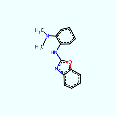 CN(C)c1ccccc1Nc1nc2ccccc2o1